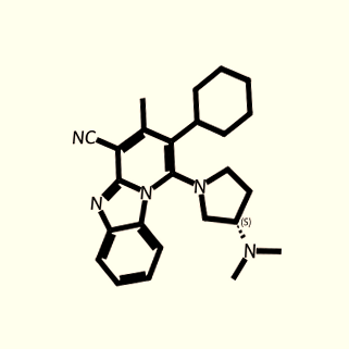 Cc1c(C2CCCCC2)c(N2CC[C@H](N(C)C)C2)n2c(nc3ccccc32)c1C#N